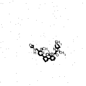 COc1nc(-c2cccc(-c3cccc(NC(=O)c4nc5c(n4C)CCN(C)C5)c3Cl)c2C)ccc1CNC1COC1